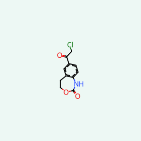 O=C1Nc2ccc(C(=O)CCl)cc2CCO1